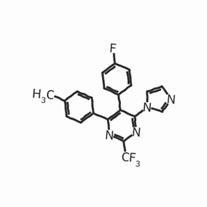 Cc1ccc(-c2nc(C(F)(F)F)nc(-n3ccnc3)c2-c2ccc(F)cc2)cc1